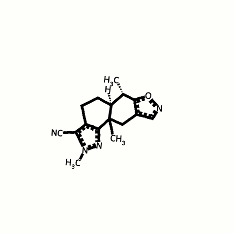 C[C@@H]1c2oncc2CC2(C)c3nn(C)c(C#N)c3CC[C@@H]12